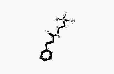 O=C(/C=C/c1ccccc1)OCCP(=O)(O)O